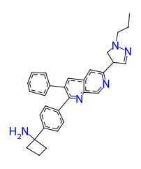 CCCN1CC(c2cc3cc(-c4ccccc4)c(-c4ccc(C5(N)CCC5)cc4)nc3cn2)C=N1